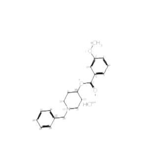 COc1cccc(C(=O)OC2CCN(Cc3ccccc3)CC2)c1.Cl